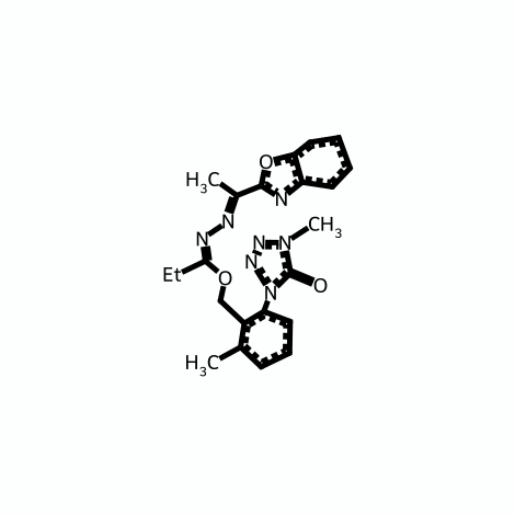 CC/C(=N/N=C(C)c1nc2ccccc2o1)OCc1c(C)cccc1-n1nnn(C)c1=O